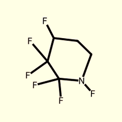 FC1CCN(F)C(F)(F)C1(F)F